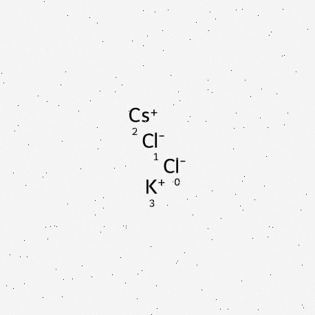 [Cl-].[Cl-].[Cs+].[K+]